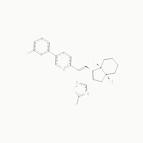 Cc1nc([C@H]2C[C@H]3CCCC[C@H]3[C@@H]2C=Cc2ccc(-c3cccc(F)c3)cn2)no1